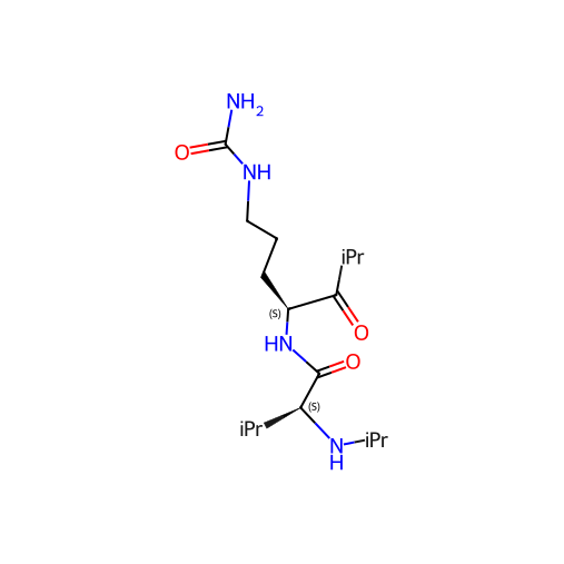 CC(C)N[C@H](C(=O)N[C@@H](CCCNC(N)=O)C(=O)C(C)C)C(C)C